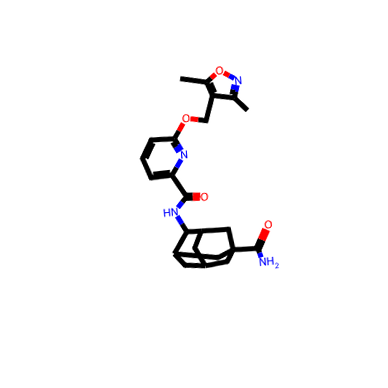 Cc1noc(C)c1COc1cccc(C(=O)NC2C3CC4CC2CC(C(N)=O)(C4)C3)n1